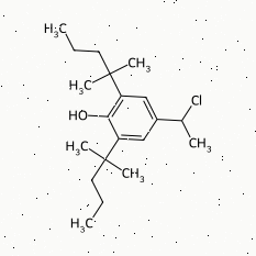 CCCC(C)(C)c1cc(C(C)Cl)cc(C(C)(C)CCC)c1O